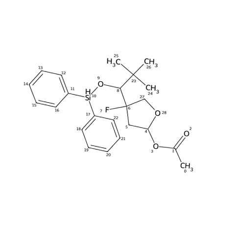 CC(=O)OC1CC(F)(C(O[SiH](c2ccccc2)c2ccccc2)C(C)(C)C)CO1